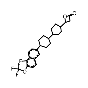 O=C1CC(C2CCC(C3CCC(c4ccc5c(F)c(OC(F)(F)F)ccc5c4)CC3)CC2)O1